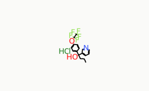 CCCC(O)(c1ccc(OC(F)(F)C(F)(F)F)cc1)c1cccnc1.Cl